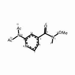 CON(C)C(=O)c1ccnc(N(C(C)=O)C(C)=O)c1